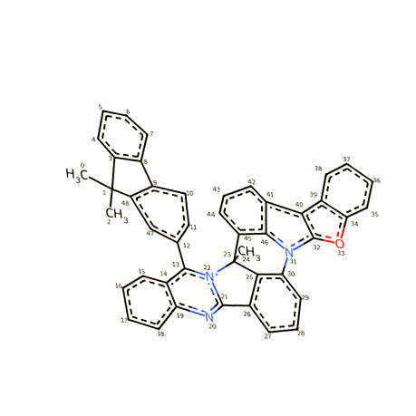 CC1(C)c2ccccc2-c2ccc(-c3c4ccccc4nc4[n+]3C3(C)c5c-4cccc5-n4c5oc6ccccc6c5c5cccc3c54)cc21